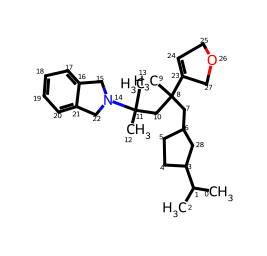 CC(C)C1CCC(CC(C)(CC(C)(C)N2Cc3ccccc3C2)C2=CCOC2)C1